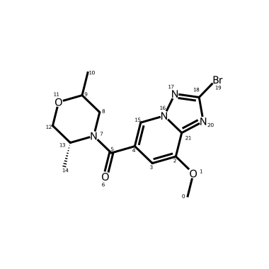 COc1cc(C(=O)N2CC(C)OC[C@H]2C)cn2nc(Br)nc12